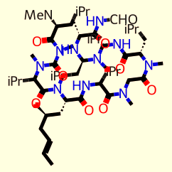 C/C=C/C[C@@H](C)C[C@@H](C(=O)NC(C(=O)N(C)CC(=O)N(C)[C@@H](CC(C)C)C(=O)NC(C(C)C)N(C)[C@@H](CC(C)C)N[C@H](C)C(=O)NC=O)C(C)C)N(C)C(=O)C(C(C)C)N(C)C(=O)N(C)C(=O)[C@H](CC(C)C)NC